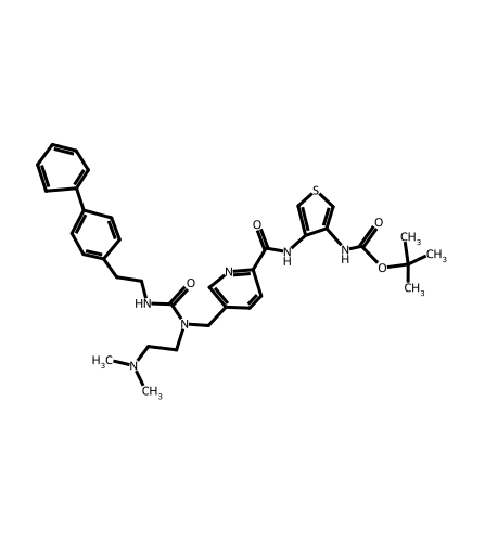 CN(C)CCN(Cc1ccc(C(=O)Nc2cscc2NC(=O)OC(C)(C)C)nc1)C(=O)NCCc1ccc(-c2ccccc2)cc1